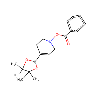 CC1(C)OB(C2=CCN(OC(=O)c3ccccc3)CC2)OC1(C)C